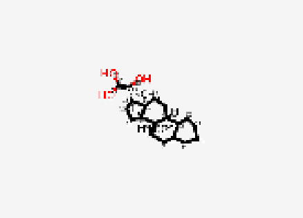 C[C@]12CC[C@H]3[C@@H](CCC4CCCC[C@@]43C)[C@@H]1CC[C@@H]2C(O)=C(O)O